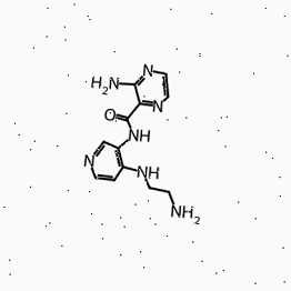 NCCNc1ccncc1NC(=O)c1nccnc1N